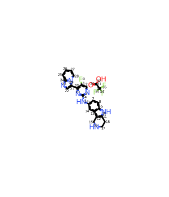 Fc1cnc(Nc2ccc3[nH]c4c(c3c2)CNCC4)nc1-c1cnc2ccccn12.O=C(O)C(F)(F)F